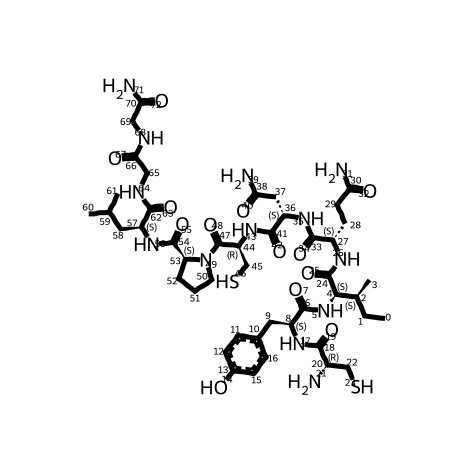 CC[C@H](C)[C@H](NC(=O)[C@H](Cc1ccc(O)cc1)NC(=O)[C@@H](N)CS)C(=O)N[C@@H](CCC(N)=O)C(=O)N[C@@H](CC(N)=O)C(=O)N[C@@H](CS)C(=O)N1CCC[C@H]1C(=O)N[C@@H](CC(C)C)C(=O)NCC(=O)NCC(N)=O